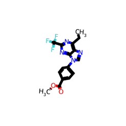 CCc1nc(C(F)(F)F)nc2c1ncn2-c1ccc(C(=O)OC)cc1